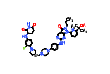 C=CCn1c(=O)c2cnc(Nc3ccc(N4CCN(C[C@@H]5CCN(c6ccc(NC7CCC(=O)NC7=O)cc6F)C5)CC4)cc3)nc2n1-c1cccc(C(C)(C)O)n1